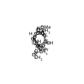 C=CC(=O)N1CC[C@H](C(=O)N(C)C(C(=O)N[C@H]2Cc3cc(O)cc(c3)-c3ccc4c(c3)c(c(-c3cccnc3COC)n4C)CC(C)(C)COC(=O)[C@@H]3CCCN(N3)C2=O)C(C)C)C1